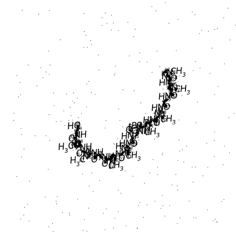 Cn1cc(NC(=O)c2nc(NC(=O)CCNC(=O)c3cc(NC(=O)c4nc(NC(=O)[C@@H](CCNC(=O)c5cc(NC(=O)c6nc(NC(=O)CCNC(=O)c7cc(NC(=O)c8nccn8C)cn7C)cn6C)cn5C)NC(=O)OC(C)(C)C)cn4C)cn3C)cn2C)cc1C(=O)NCCO